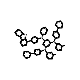 Cc1cccc(N(c2ccc(-c3ccccc3)cc2)c2cc(N(c3ccccc3)c3ccc(-c4cccc5c4oc4ccccc45)cc3)cc(N(c3ccc(-c4ccccc4)cc3)c3cccc(C)c3)c2)c1